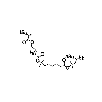 C=C(C(=O)OCCNC(=O)OC(C)(C)CCCCCC(=O)OC(C)(C)CC(CC)CCCC)C(C)(C)C